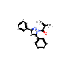 C=C(C)C(=O)n1nc(-c2ccccc2)cc1-c1ccccc1